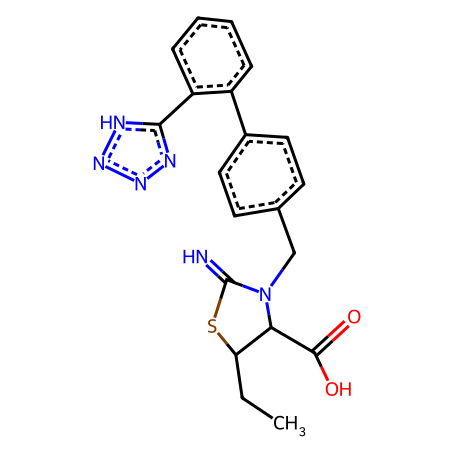 CCC1SC(=N)N(Cc2ccc(-c3ccccc3-c3nnn[nH]3)cc2)C1C(=O)O